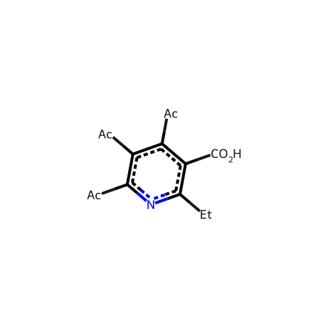 CCc1nc(C(C)=O)c(C(C)=O)c(C(C)=O)c1C(=O)O